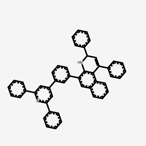 C1=C(c2ccccc2)c2c(c(-c3cccc(-c4cc(-c5ccccc5)nc(-c5ccccc5)c4)c3)cc3ccccc23)NC1c1ccccc1